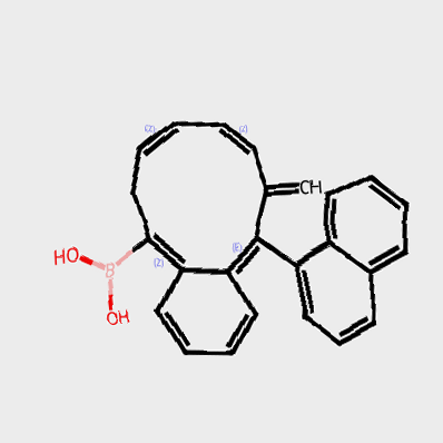 C=C1/C=C\C=C/C/C(B(O)O)=c2/cccc/c2=C/1c1cccc2ccccc12